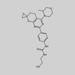 CC1COCCN1c1nc(-c2ccc(NC(=O)NCCO)cc2)nc2c1CCC1(CC1)O2